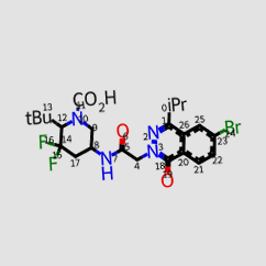 CC(C)c1nn(CC(=O)NC2CN(C(=O)O)C(C(C)(C)C)C(F)(F)C2)c(=O)c2ccc(Br)cc12